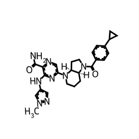 Cn1cc(Nc2nc(N3CCC[C@H]4[C@@H]3CCN4C(=O)c3ccc(C4CC4)cc3)cnc2C(N)=O)cn1